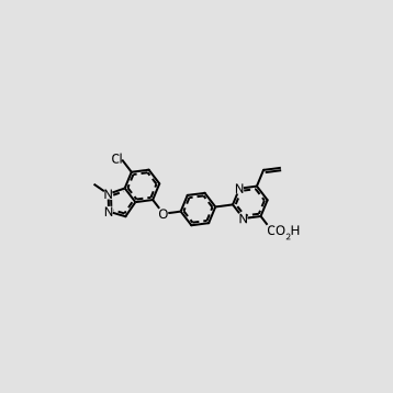 C=Cc1cc(C(=O)O)nc(-c2ccc(Oc3ccc(Cl)c4c3cnn4C)cc2)n1